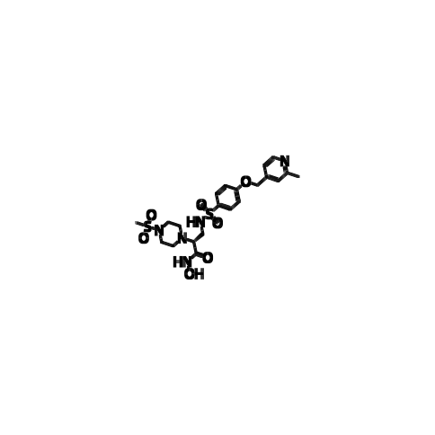 Cc1cc(COc2ccc(S(=O)(=O)NC[C@@H](C(=O)NO)N3CCN(S(C)(=O)=O)CC3)cc2)ccn1